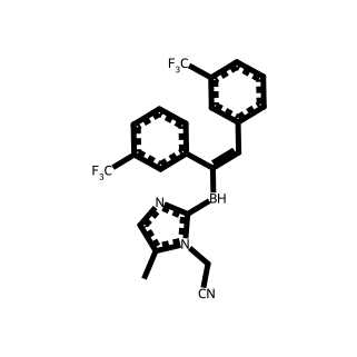 Cc1cnc(BC(=Cc2cccc(C(F)(F)F)c2)c2cccc(C(F)(F)F)c2)n1CC#N